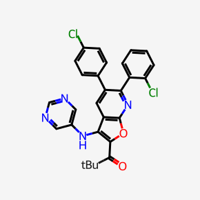 CC(C)(C)C(=O)c1oc2nc(-c3ccccc3Cl)c(-c3ccc(Cl)cc3)cc2c1Nc1cncnc1